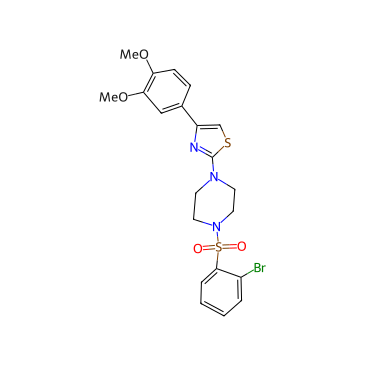 COc1ccc(-c2csc(N3CCN(S(=O)(=O)c4ccccc4Br)CC3)n2)cc1OC